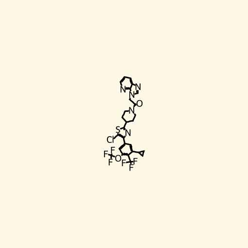 O=C(Cn1cnc2cccnc21)N1CCC(c2nc(-c3cc(OC(F)(F)F)c(C(F)(F)F)c(C4CC4)c3)c(Cl)s2)CC1